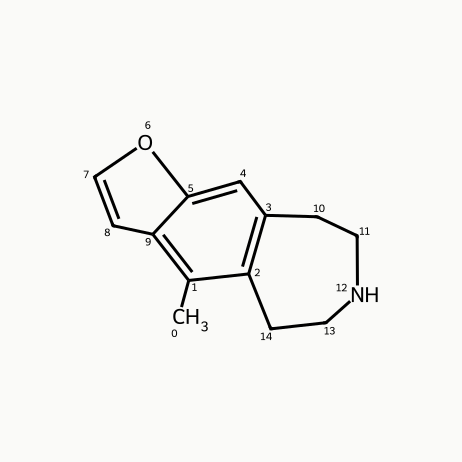 Cc1c2c(cc3occc13)CCNCC2